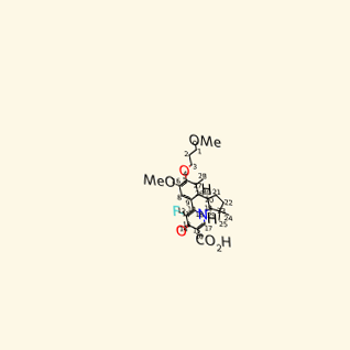 COCCCOC1=C(OC)C=C2c3c(F)c(=O)c(C(=O)O)cn3[C@H]3[C@H](CCC3(C)C)C2C1C